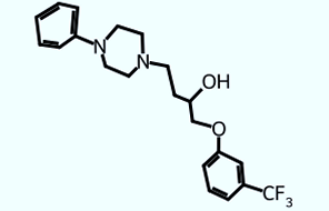 OC(CCN1CCN(c2ccccc2)CC1)COc1cccc(C(F)(F)F)c1